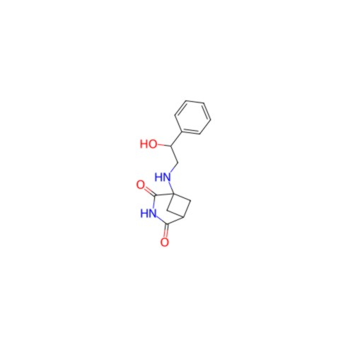 O=C1NC(=O)C2(NCC(O)c3ccccc3)CC1C2